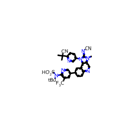 Cn1c(=NC#N)n(-c2ccc(C(C)(C)C#N)nc2)c2c3cc(-c4cnc(N(C(=O)O)C(C)(C)C)c(C(F)(F)F)c4)ccc3ncc21